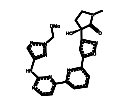 COCn1ncc(Nc2nccc(-c3cccc(-c4cc([C@]5(O)CCN(C)C5=O)no4)n3)n2)n1